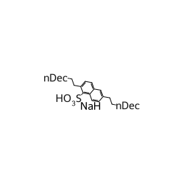 CCCCCCCCCCCCc1ccc2c(S(=O)(=O)O)c(CCCCCCCCCCCC)ccc2c1.[NaH]